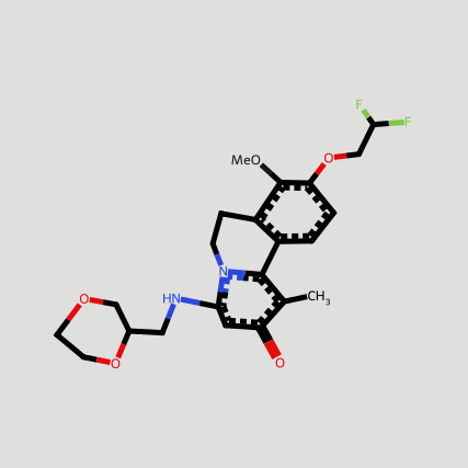 COc1c(OCC(F)F)ccc2c1CCn1c(NCC3COCCO3)cc(=O)c(C)c1-2